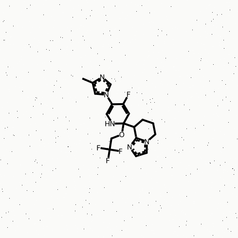 Cc1cn(C2=CNC(OCC(F)(F)F)(C3CCCn4ccnc43)C=C2F)cn1